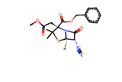 [C-]#[N+][C@H]1C(=O)N2[C@@H]1SC(C)(C)[C@]2(CC(=O)OC)C(=O)OCc1ccccc1